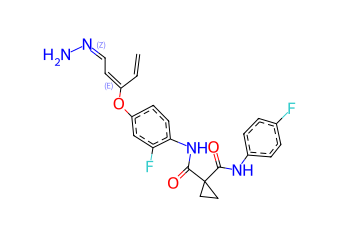 C=C/C(=C\C=N/N)Oc1ccc(NC(=O)C2(C(=O)Nc3ccc(F)cc3)CC2)c(F)c1